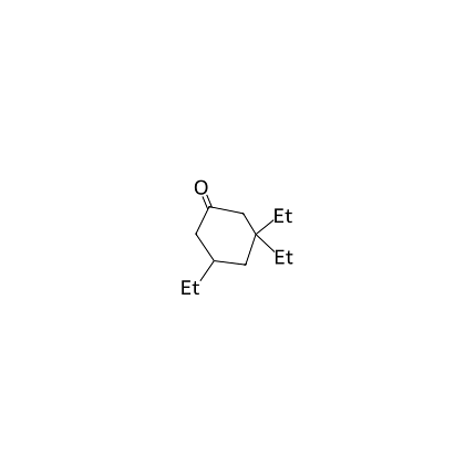 CCC1CC(=O)CC(CC)(CC)C1